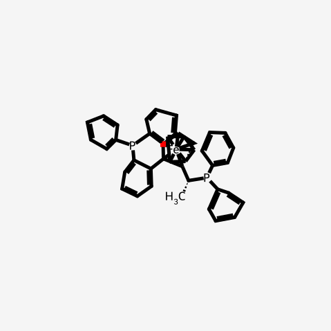 C[C@@H](P(c1ccccc1)c1ccccc1)[C@@]12[CH]3[CH]4[CH]5[C]1(c1ccccc1P(c1ccccc1)c1ccccc1)[Fe]45321678[CH]2[CH]1[CH]6[CH]7[CH]28